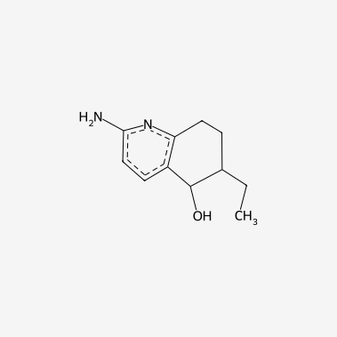 CCC1CCc2nc(N)ccc2C1O